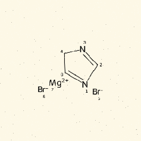 C1=NC=NC1.[Br-].[Br-].[Mg+2]